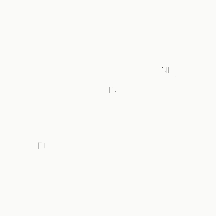 CCc1cccc(C(C)NCCN)c1